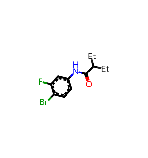 CCC(CC)C(=O)Nc1ccc(Br)c(F)c1